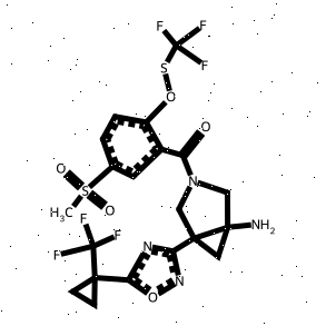 CS(=O)(=O)c1ccc(OSC(F)(F)F)c(C(=O)N2CC3(N)CC3(c3noc(C4(C(F)(F)F)CC4)n3)C2)c1